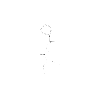 N[C@H](CO)C(=O)OCC(=O)c1ccccc1